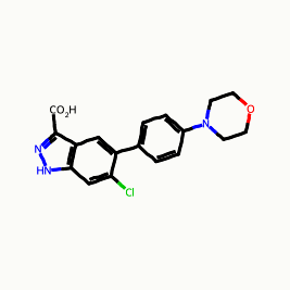 O=C(O)c1n[nH]c2cc(Cl)c(-c3ccc(N4CCOCC4)cc3)cc12